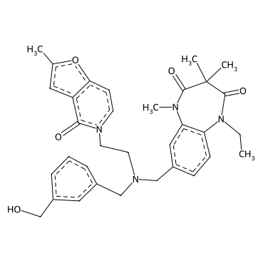 CCN1C(=O)C(C)(C)C(=O)N(C)c2cc(CN(CCn3ccc4oc(C)cc4c3=O)Cc3cccc(CO)c3)ccc21